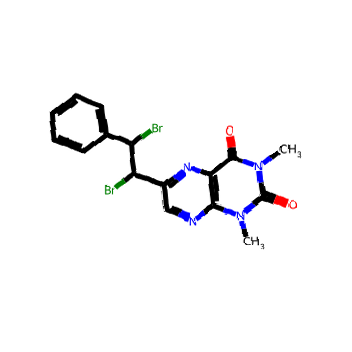 Cn1c(=O)c2nc(C(Br)C(Br)c3ccccc3)cnc2n(C)c1=O